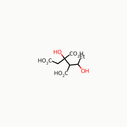 CCC(O)C(C(=O)O)C(O)(CC(=O)O)C(=O)O